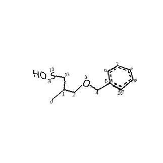 CC(COCc1ccccc1)CS(=O)(=O)O